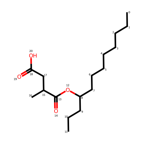 CCCCCCCCC(CCC)OC(=O)C(C)CC(=O)O